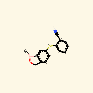 CB1OCc2ccc(Sc3ccccc3C#N)cc21